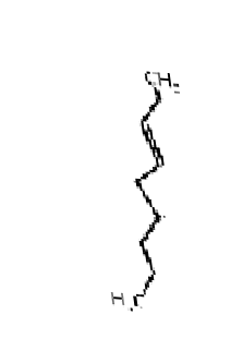 CCC=CC[CH]CCC